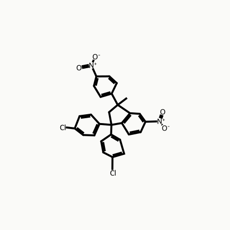 CC1(c2ccc([N+](=O)[O-])cc2)CC(c2ccc(Cl)cc2)(c2ccc(Cl)cc2)c2ccc([N+](=O)[O-])cc21